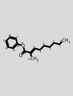 CCCCCCC=C(C)C(=O)Oc1ccccc1